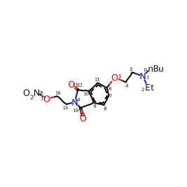 CCCCN(CC)CCOc1ccc2c(c1)C(=O)N(CCO[N+](=O)[O-])C2=O